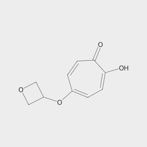 O=c1ccc(OC2COC2)ccc1O